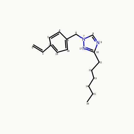 C=Cc1ccc(Cn2cnc(CCCCCC)n2)cc1